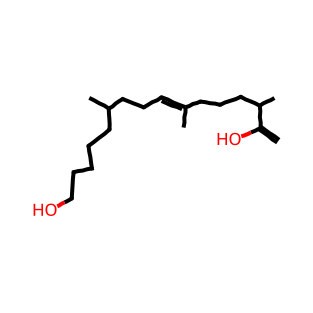 C=C(O)C(C)CCC/C(C)=C/CCC(C)CCCCCO